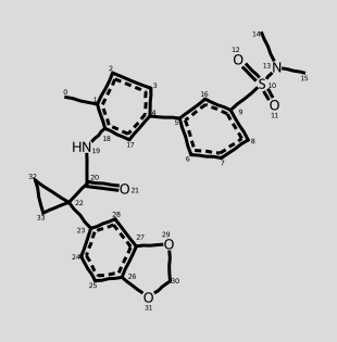 Cc1ccc(-c2cccc(S(=O)(=O)N(C)C)c2)cc1NC(=O)C1(c2ccc3c(c2)OCO3)CC1